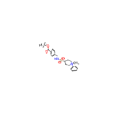 COC(=O)c1ccc(CNS(=O)(=O)C2CC[N+](C)(c3ccccc3)CC2)cc1